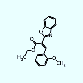 CCOC(=O)/C(=C\c1ccccc1OC)c1nc2ccccc2o1